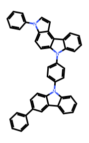 c1ccc(-c2ccc3c(c2)c2ccccc2n3-c2ccc(-n3c4ccccc4c4c5ccn(-c6ccccc6)c5ccc43)cc2)cc1